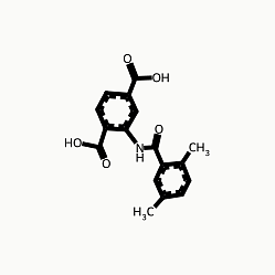 Cc1ccc(C)c(C(=O)Nc2cc(C(=O)O)ccc2C(=O)O)c1